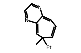 CCC1(C)C=CC=c2nccnc2=C1